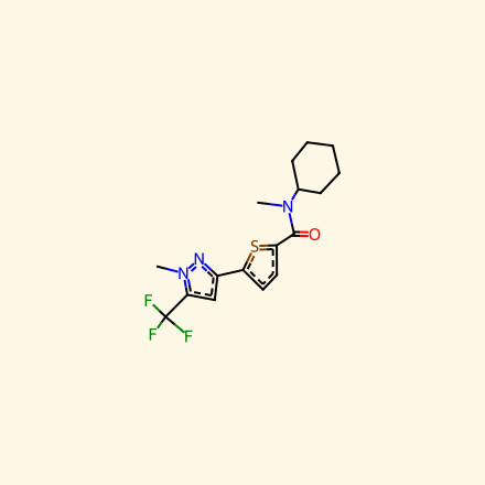 CN(C(=O)c1ccc(-c2cc(C(F)(F)F)n(C)n2)s1)C1CCCCC1